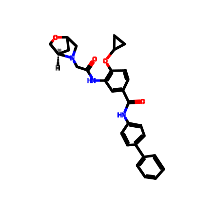 O=C(CN1CC2C[C@@H]1CO2)Nc1cc(C(=O)Nc2ccc(-c3ccccc3)cc2)ccc1OC1CC1